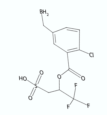 BCc1ccc(Cl)c(C(=O)OC(CS(=O)(=O)O)C(F)(F)F)c1